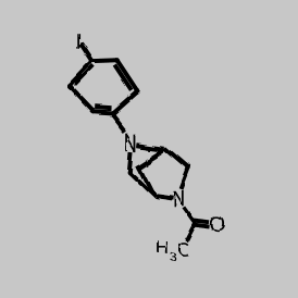 CC(=O)N1CC2CC1CN2c1ccc(I)cc1